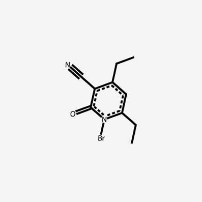 CCc1cc(CC)n(Br)c(=O)c1C#N